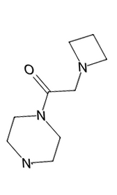 O=C(CN1CCC1)N1CC[N]CC1